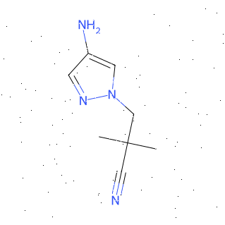 CC(C)(C#N)Cn1cc(N)cn1